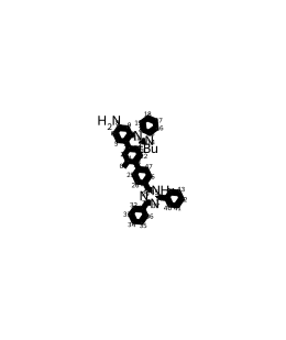 CC1CC(c2ccc(N)cc2-n2c(C(C)(C)C)nc3ccccc32)=CC=C1c1ccc(C2N=C(c3ccccc3)N=C(c3ccccc3)N2)cc1